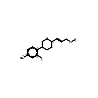 CCOC/C=C/C1CCC(c2ccc(C#N)cc2F)CC1